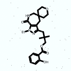 CCn1nc(CC(C)(C)COC(=O)c2ccccc2O)c2c1C(=O)NCC1(CCOCC1)C2